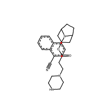 N#Cc1ccc(N2C3CCC2CC(OC(=O)CCN2CCNCC2)C3)c2ccccc12